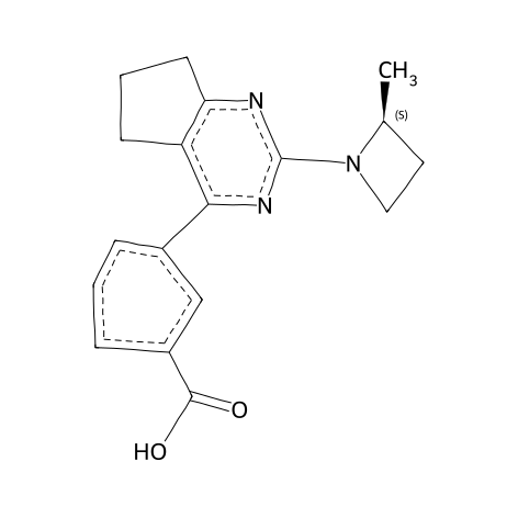 C[C@H]1CCN1c1nc2c(c(-c3cccc(C(=O)O)c3)n1)CCC2